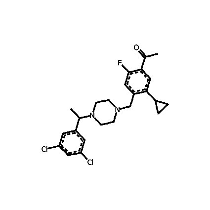 CC(=O)c1cc(C2CC2)c(CN2CCN(C(C)c3cc(Cl)cc(Cl)c3)CC2)cc1F